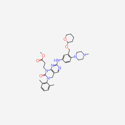 COC(=O)CCN1C(=O)N(c2c(C)cccc2C)Cc2cnc(Nc3ccc(N4CCN(C)CC4)c(COC4CCCCO4)c3)nc21